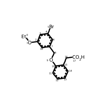 CCOc1cc(Br)cc(COc2ccccc2CC(=O)O)c1